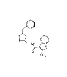 Cc1nc2ccccn2c1C(=O)NCC1=NOC(Cc2ccccc2)C1